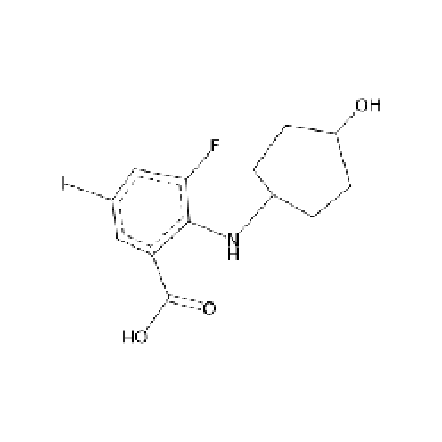 O=C(O)c1cc(I)cc(F)c1NC1CCC(O)CC1